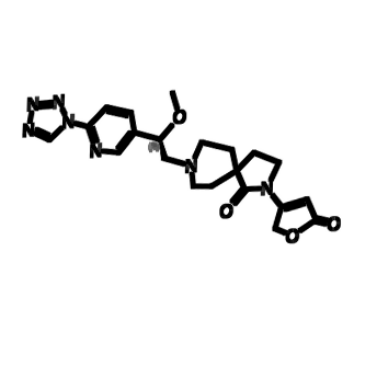 CO[C@@H](CN1CCC2(CC1)CCN(C1=CC(=O)OC1)C2=O)c1ccc(-n2cnnn2)nc1